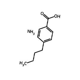 CCCCc1ccc(C(=O)O)cc1.N